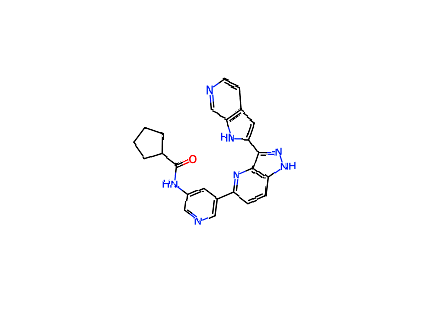 O=C(Nc1cncc(-c2ccc3[nH]nc(-c4cc5ccncc5[nH]4)c3n2)c1)C1CCCC1